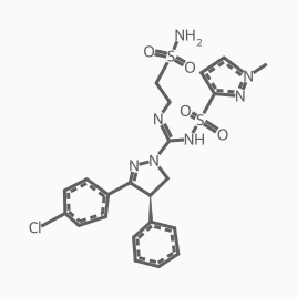 Cn1ccc(S(=O)(=O)N/C(=N\CCS(N)(=O)=O)N2C[C@@H](c3ccccc3)C(c3ccc(Cl)cc3)=N2)n1